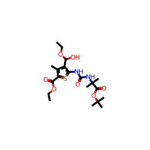 CCOC(=O)c1sc(NC(=O)NC(C)(C)C(=O)OC(C)(C)C)c(C(O)OCC)c1C